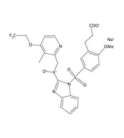 COc1ccc(S(=O)(=O)n2c([S+]([O-])Cc3nccc(OCC(F)(F)F)c3C)nc3ccccc32)cc1CCC(=O)[O-].[Na+]